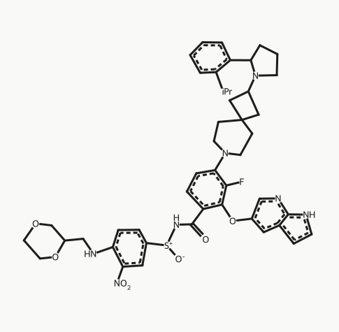 CC(C)c1ccccc1C1CCCN1C1CC2(CCN(c3ccc(C(=O)N[S+]([O-])c4ccc(NCC5COCCO5)c([N+](=O)[O-])c4)c(Oc4cnc5[nH]ccc5c4)c3F)CC2)C1